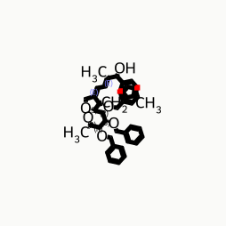 C=C1/C(=C\C=C(/C)C(O)c2ccc(C)cc2)CO[C@]12O[C@H](C)[C@@H](OCc1ccccc1)[C@H](OCc1ccccc1)[C@H]2OCc1ccccc1